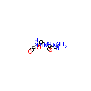 Nc1nccc(-c2cnc(NCc3cccc(C(=O)NC4CC5(CCOCC5)C4)c3)c3c2OCC3)n1